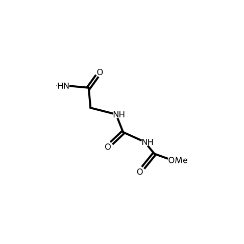 COC(=O)NC(=O)NCC([NH])=O